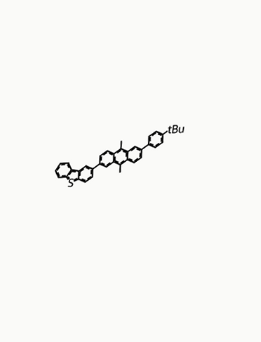 Cc1c2ccc(-c3ccc4sc5ccccc5c4c3)cc2c(C)c2ccc(-c3ccc(C(C)(C)C)cc3)cc12